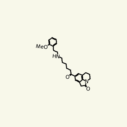 COc1ccccc1CCNCCCCCC(=O)c1cc2c3c(c1)CC(=O)N3CCC2